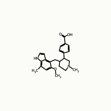 COc1cc(C)c2[nH]ccc2c1CC1CCN(C)CC1c1ccc(C(=O)O)cc1